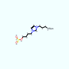 CCCCCCCCCCCCN1C=CN(CCCCO[SH](=O)=O)C1